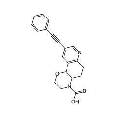 O=C(O)N1CCOC2c3cc(C#Cc4ccccc4)cnc3CCC21